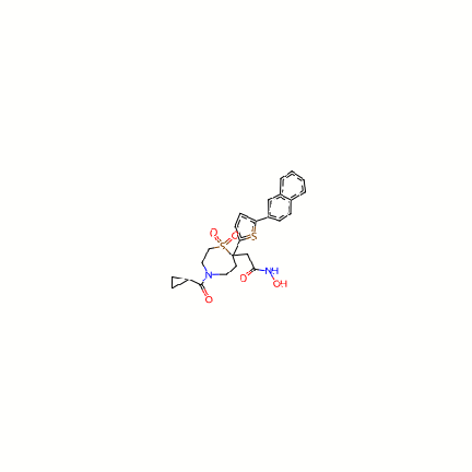 O=C(CC1(c2ccc(-c3ccc4ccccc4c3)s2)CCN(C(=O)C2CC2)CCS1(=O)=O)NO